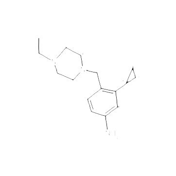 CCN1CCN(Cc2ccc(N)cc2C2CC2)CC1